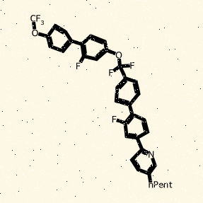 CCCCCc1ccc(-c2ccc(-c3ccc(C(F)(F)Oc4ccc(-c5ccc(OC(F)(F)F)cc5)c(F)c4)cc3)c(F)c2)nc1